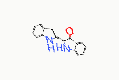 O=C1C(=C2Cc3ccccc3N2)Nc2ccccc21